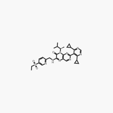 CCS(=O)(=O)c1ccc(CNc2nc3cnc(-c4c(C5CC5)ncnc4C4CC4)nc3n([C@H](C)C(C)C)c2=O)nc1